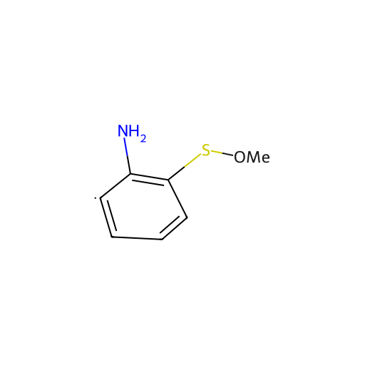 COSc1ccc[c]c1N